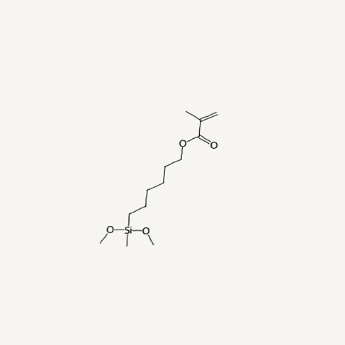 C=C(C)C(=O)OCCCCCC[Si](C)(OC)OC